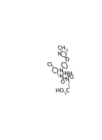 Cc1ccc(Oc2ccc(/N=c3\[nH]c(=O)n(CCCC(=O)O)c(=O)n3Cc3ccc(Cl)cc3)cc2)cn1